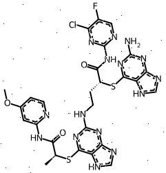 COc1ccnc(NC(=O)[C@H](C)Sc2nc(NCC[C@@H](Sc3nc(N)nc4nc[nH]c34)C(=O)Nc3ncc(F)c(Cl)n3)nc3nc[nH]c23)c1